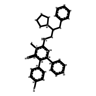 Cn1c(NCC(Cc2ccccc2)N2CCCC2)nc(-c2ccncc2)c(-c2ccc(F)cc2)c1=O